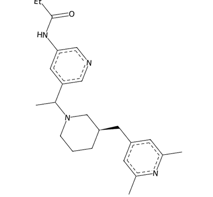 CCC(=O)Nc1cncc(C(C)N2CCC[C@H](Cc3cc(C)nc(C)c3)C2)c1